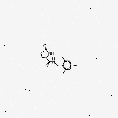 Cc1cc(C)c(CNC(=O)C2CCC(=O)N2)c(C)c1